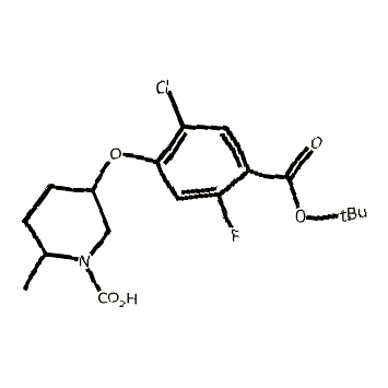 CC1CCC(Oc2cc(F)c(C(=O)OC(C)(C)C)cc2Cl)CN1C(=O)O